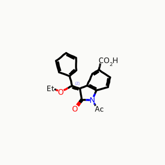 CCO/C(=C1\C(=O)N(C(C)=O)c2ccc(C(=O)O)cc21)c1ccccc1